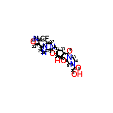 O=C(CO)N1CCN(C(=O)c2ccc(Oc3nccn4c(-c5conc5C(F)(F)F)cnc34)cc2O)CC1